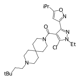 CCn1nc(-c2cc(C(C)C)on2)c(C(=O)N2CCC3(CCN(CCC(C)(C)C)CC3)CC2)c1Cl